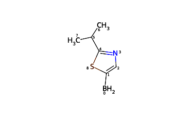 Bc1cnc(C(C)C)s1